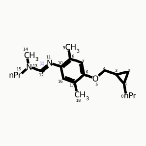 CCCC1CC1COc1cc(C)c(/N=C/N(C)CCC)cc1C